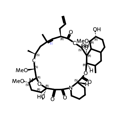 C=CC[C@@H]1/C=C(\C)C[C@H](C)C[C@H](OC)[C@H]2O[C@@](O)(C(=O)C(=O)N3CCCC[C@H]3C(=O)O[C@@H]3C(C)CC4CC[C@@H](O)[C@H](OC)C4[C@@H]3[C@@H](O)CC1=O)[C@H](C)C[C@@H]2OC